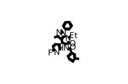 CCN1C(=O)[C@@H](NC(=O)c2cccc(C)c2)[C@@H](c2ccc(F)nc2)c2c(C)nn(-c3ccccc3)c21